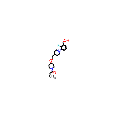 CCC(=O)N1CCC(OCCC2CCN(c3cccc(CO)c3F)CC2)CC1